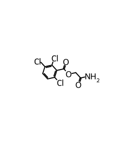 NC(=O)COC(=O)c1c(Cl)ccc(Cl)c1Cl